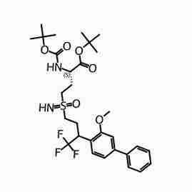 COc1cc(-c2ccccc2)ccc1C(CCS(=N)(=O)CC[C@H](NC(=O)OC(C)(C)C)C(=O)OC(C)(C)C)C(F)(F)F